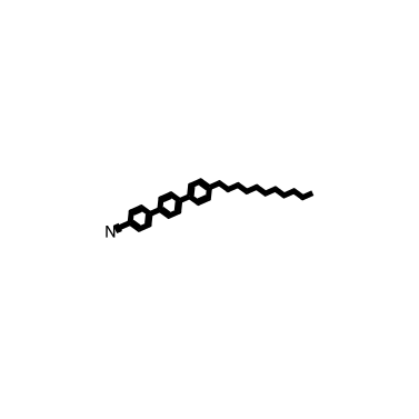 CCCCCCCCCCCc1ccc(-c2ccc(-c3ccc(C#N)cc3)cc2)cc1